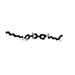 CCCCCCCCOc1ccc(-c2ncc(-c3ccc(OCCCCC[C@@H](C)CC)cc3)cn2)cn1